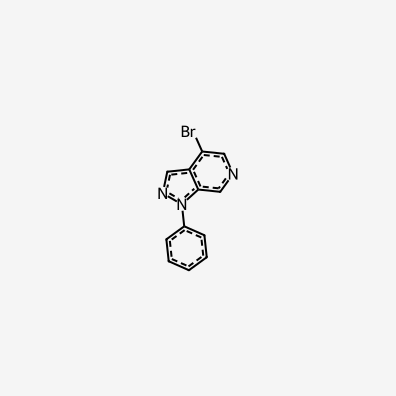 Brc1cncc2c1cnn2-c1ccccc1